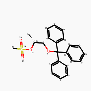 C[C@H](COC(c1ccccc1)(c1ccccc1)c1ccccc1)OS(C)(=O)=O